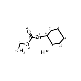 CCO[C](=O)[Zn][CH]1CCCCC1.I